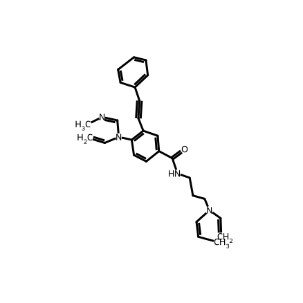 C=CN(/C=C\C)CCCNC(=O)c1ccc(N(C=C)/C=N\C)c(C#Cc2ccccc2)c1